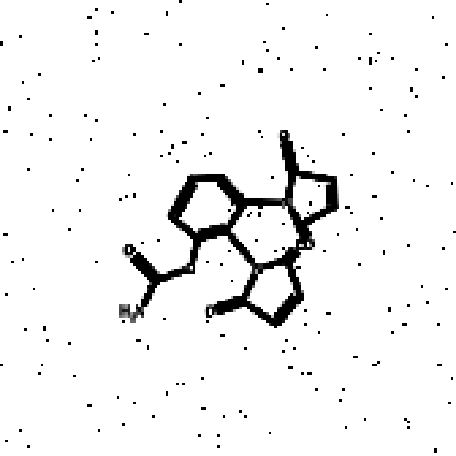 NC(=O)Oc1cccc(N2C(=O)C=CC2=O)c1N1C(=O)C=CC1=O